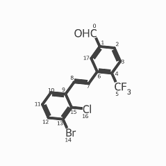 O=Cc1ccc(C(F)(F)F)c(/C=C/c2cccc(Br)c2Cl)c1